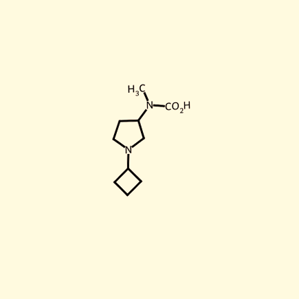 CN(C(=O)O)C1CCN(C2CCC2)C1